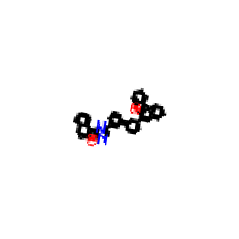 c1cc(-c2cccc(-c3cc4ccccc4c4c3oc3ccccc34)c2)cc(-c2cnc3oc4ccc5ccccc5c4c3n2)c1